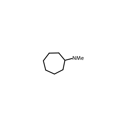 CNC1CCCCCC1